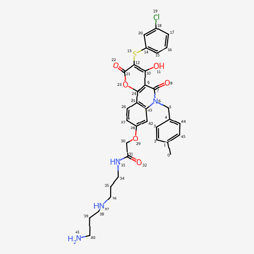 Cc1ccc(Cn2c(=O)c3c(O)c(Sc4cccc(Cl)c4)c(=O)oc3c3ccc(OCC(=O)NCCCNCCCN)cc32)cc1